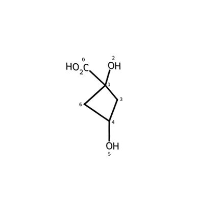 O=C(O)C1(O)CC(O)C1